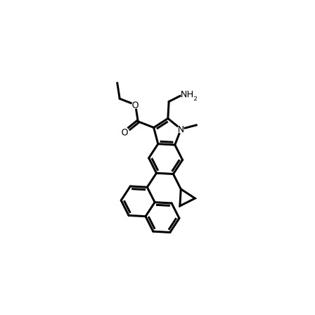 CCOC(=O)c1c(CN)n(C)c2cc(C3CC3)c(-c3cccc4ccccc34)cc12